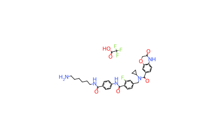 NCCCCCCNC(=O)c1ccc(NC(=O)c2ccc(CN(C(=O)c3ccc4c(c3)OCC(=O)N4)C3CC3)cc2F)cc1.O=C(O)C(F)(F)F